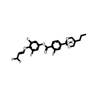 CCCC12COC(c3ccc(C(=O)Oc4cc(F)c(O/C=C/C(F)F)c(F)c4)c(F)c3)(OC1)OC2